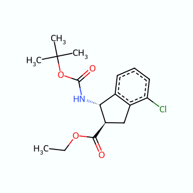 CCOC(=O)[C@@H]1Cc2c(Cl)cccc2[C@H]1NC(=O)OC(C)(C)C